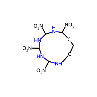 O=[N+]([O-])C1CCCCNC([N+](=O)[O-])NC([N+](=O)[O-])NC([N+](=O)[O-])N1